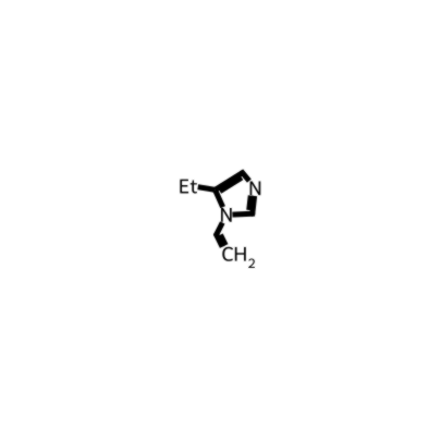 C=Cn1cncc1CC